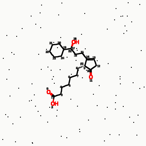 O=C(O)CCCCCC[C@H]1C(=O)CC=C1CC[C@H](O)C1CCCCC1